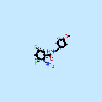 COc1ccc(CNC(=O)c2cc(F)cc(F)c2N)cc1